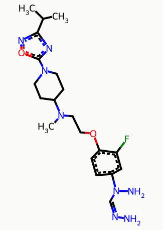 CC(C)c1noc(N2CCC(N(C)CCOc3ccc(N(N)/C=N\N)cc3F)CC2)n1